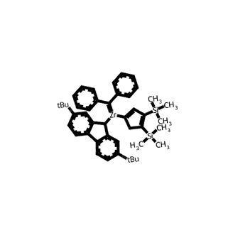 CC(C)(C)c1ccc2c(c1)[CH]([Zr]([C]1=CC([Si](C)(C)C)=C([Si](C)(C)C)C1)=[C](c1ccccc1)c1ccccc1)c1cc(C(C)(C)C)ccc1-2